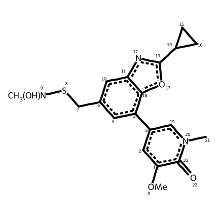 COc1cc(-c2cc(CSN(C)O)cc3nc(C4CC4)oc23)cn(C)c1=O